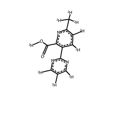 [2H]OC(=O)c1nc(C([2H])([2H])[2H])c([2H])c([2H])c1-c1nc([2H])c([2H])c([2H])n1